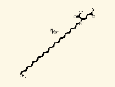 CCCCCCCCCCCCCCCCCCCCCCNC(CCC(=O)[O-])C(=O)[O-].[Na+].[Na+]